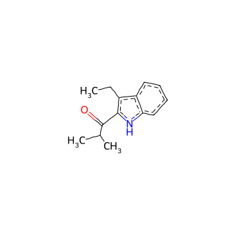 CCc1c(C(=O)C(C)C)[nH]c2ccccc12